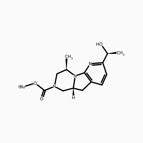 C[C@H](O)c1ccc2c(n1)N1[C@H](C2)CN(C(=O)OC(C)(C)C)C[C@H]1C